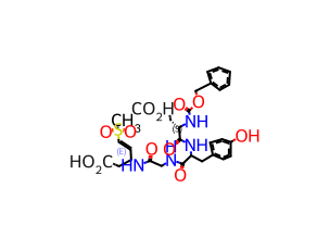 CS(=O)(=O)/C=C/C(CC(=O)O)NC(=O)CNC(=O)C(Cc1ccc(O)cc1)NC(=O)[C@H](CC(=O)O)NC(=O)OCc1ccccc1